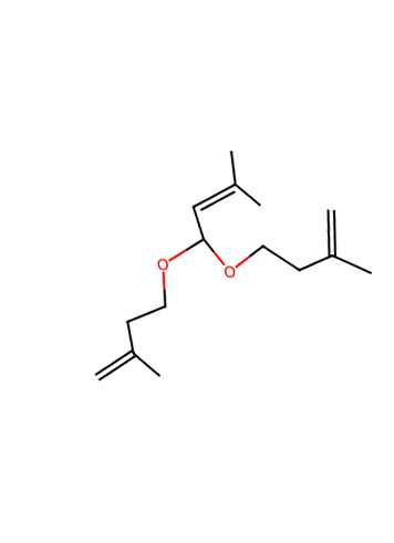 C=C(C)CCOC(C=C(C)C)OCCC(=C)C